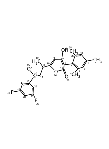 Cc1cc(C)c(-c2c(O)cc(C(C)C[S+]([O-])c3cc(F)cc(F)c3)oc2=O)c(C)c1